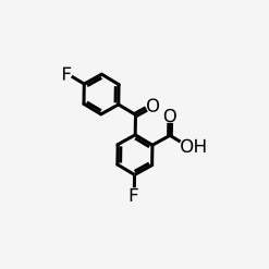 O=C(O)c1cc(F)ccc1C(=O)c1ccc(F)cc1